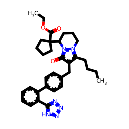 CCCCc1c(Cc2ccc(-c3ccccc3-c3nnn[nH]3)cc2)c(=O)n2n1CCCC2C1(C(=O)OCC)CCCC1